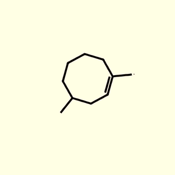 [CH2]C1=CCC(C)CCCC1